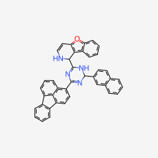 C1=Cc2oc3ccccc3c2C(C2=NC(c3ccc4c5c(cccc35)-c3ccccc3-4)=NC(c3ccc4ccccc4c3)N2)N1